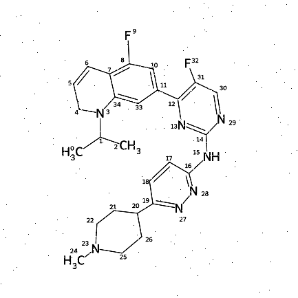 CC(C)N1CC=Cc2c(F)cc(-c3nc(Nc4ccc(C5CCN(C)CC5)nn4)ncc3F)cc21